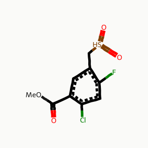 COC(=O)c1cc(C[SH](=O)=O)c(F)cc1Cl